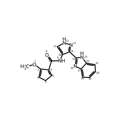 COC1=CCC=C1C(=O)Nc1c[nH]nc1-c1nc2ccccc2[nH]1